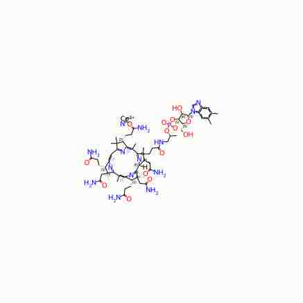 C/C1=C2N=C(/C=C3N=C(/C(C)=C4\[N-][C@@](C)([C@@H]5N=C1[C@](C)(CCC(=O)NCC(C)OP(=O)([O-])O[C@H]1[C@@H](O)[C@@H](n6cnc7cc(C)c(C)cc76)O[C@@H]1CO)[C@H]5CC(N)=O)[C@@](C)(CC(N)=O)[C@@H]4CCC(N)=O)[C@@](C)(CC(N)=O)[C@@H]\3CCC(N)=O)C(C)(C)[C@@H]/2CCC(N)=O.[C-]#N.[Co+3]